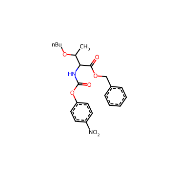 CCCCOC(C)C(NC(=O)Oc1ccc([N+](=O)[O-])cc1)C(=O)OCc1ccccc1